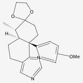 COc1ccc([C@]23CCC4(OCCO4)[C@@H](C)[C@@H]2CCc2cncnc23)cc1